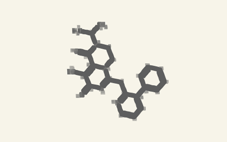 CC(C)N1CCn2c(Cc3ncccc3-c3ccccc3)nc(=O)c(O)c2C1=O